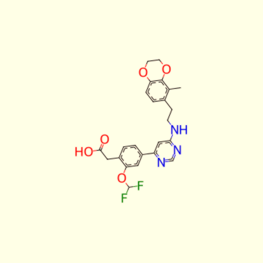 Cc1c(CCNc2cc(-c3ccc(CC(=O)O)c(OC(F)F)c3)ncn2)ccc2c1OCCO2